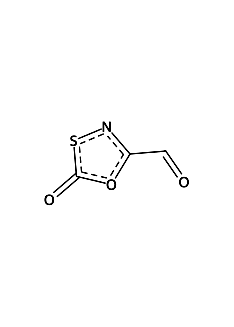 O=Cc1nsc(=O)o1